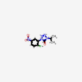 CC(C)n1nnn(-c2cc([N+](=O)[O-])ccc2F)c1=O